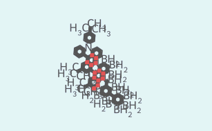 B=C(c1c(B)c(-c2c(B)c(B)c(B)c(B)c2B)c(B)c(B)c1SC)N(c1ccc(C(C)(C)C)cc1)c1c(B)c(B)c(B)c(N(c2cccc(N(c3ccc(C(C)(C)C)cc3)c3ccccc3-c3ccccc3)c2)c2ccc(C(C)(C)C)cc2-c2ccccc2)c1Cl